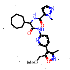 COCc1onc(C)c1-c1ccc(NC(=O)C(NC(=O)c2ccnn2C)C2CCCCCC2)nc1